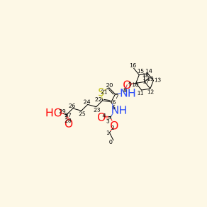 CCOC(=O)Nc1c(NOC23CC(CCC2C)C3(C)C)csc1CCCCC(=O)O